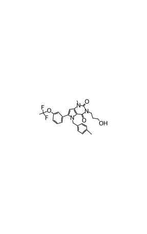 Cc1ccc(Cn2c(-c3cccc(OC(C)(F)F)c3)cc3c2c(=O)n(CCCO)c(=O)n3C)cc1